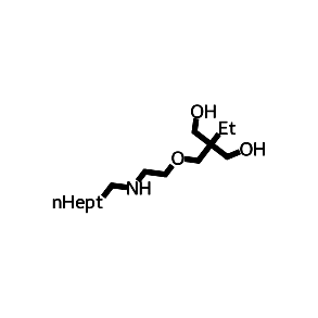 CCCCCCCCNCCOCC(CC)(CO)CO